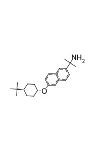 CC(C)(N)c1ccc2cc(O[C@H]3CC[C@H](C(C)(C)C)CC3)ccc2c1